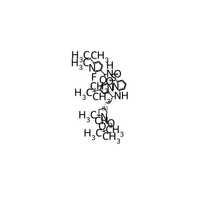 CC(C)(C)OC(=O)N1C[C@@H](CCC(Nc2cccc(S(=O)(=O)NC(=O)c3ccc(C(C)(C)C)nc3F)n2)c2cc(C(C)(C)C)ccn2)CC1(C)C